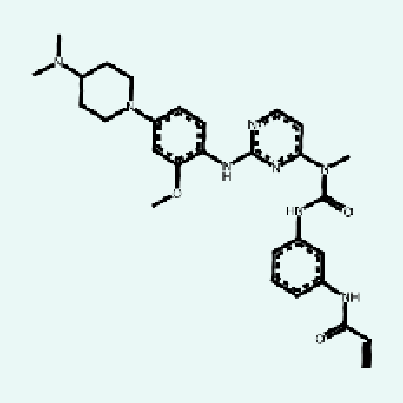 C=CC(=O)Nc1cccc(NC(=O)N(C)c2ccnc(Nc3ccc(N4CCC(N(C)C)CC4)cc3OC)n2)c1